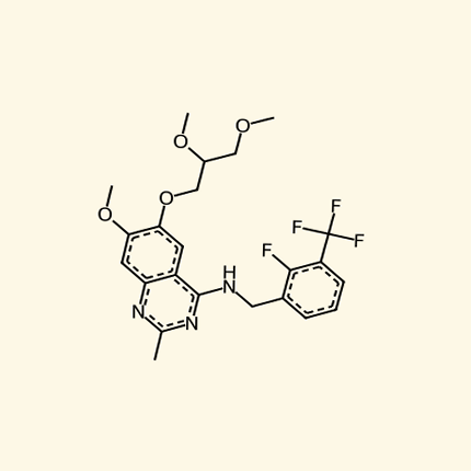 COCC(COc1cc2c(NCc3cccc(C(F)(F)F)c3F)nc(C)nc2cc1OC)OC